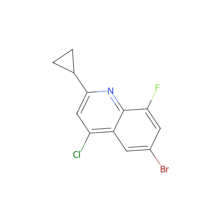 Fc1cc(Br)cc2c(Cl)cc(C3CC3)nc12